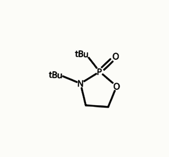 CC(C)(C)N1CCOP1(=O)C(C)(C)C